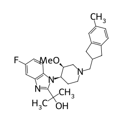 CO[C@H]1CN(CC2Cc3ccc(C)cc3C2)CC[C@H]1n1c(C(C)(C)O)nc2cc(F)ccc21